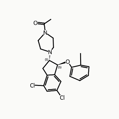 CC(=O)N1CCN([C@H]2Cc3c(Cl)cc(Cl)cc3[C@@H]2Oc2ccccc2C)CC1